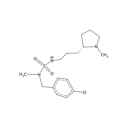 CN1CCC[C@H]1CCCNS(=O)(=O)N(C)Cc1ccc(Cl)cc1